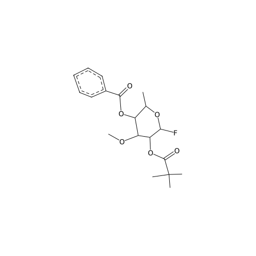 COC1C(OC(=O)c2ccccc2)C(C)OC(F)C1OC(=O)C(C)(C)C